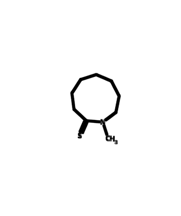 CN1CCCCCCCC1=S